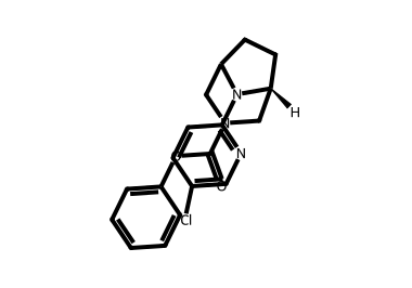 O=C(Oc1ccccc1)N1CC2CC[C@H](C1)N2c1ccc(Cl)cn1